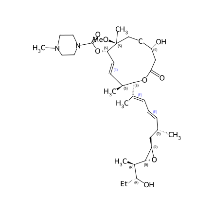 CC[C@@H](O)[C@@H](C)[C@H]1O[C@@H]1C[C@@H](C)/C=C/C=C(\C)[C@H]1OC(=O)C[C@@H](O)CC[C@](C)(OC)[C@@H](OC(=O)N2CCN(C)CC2)/C=C/[C@@H]1C